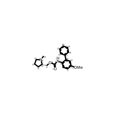 COc1ccc(NC(=O)OC[C@@H]2CCCN2C)c(-c2ccccc2)c1